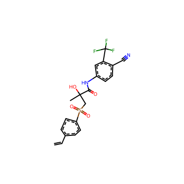 C=Cc1ccc(S(=O)(=O)CC(C)(O)C(=O)Nc2ccc(C#N)c(C(F)(F)F)c2)cc1